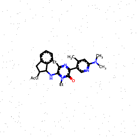 CCc1nc(-c2cnc(N(C)C)cc2C)c(=O)n(CC)c1NC1c2ccccc2CC1OC(C)=O